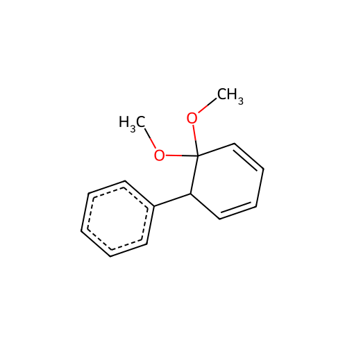 COC1(OC)C=CC=CC1c1ccccc1